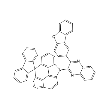 c1ccc2c(c1)-c1ccccc1C21c2cccc3ccc4c(c23)c2c1cccc2n4-c1nc2ccccc2nc1-c1ccc2oc3ccccc3c2c1